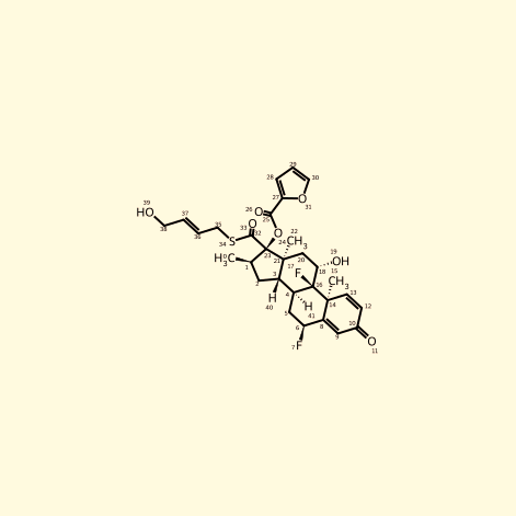 C[C@@H]1C[C@H]2[C@@H]3C[C@H](F)C4=CC(=O)C=C[C@]4(C)[C@@]3(F)[C@@H](O)C[C@]2(C)[C@@]1(OC(=O)c1ccco1)C(=O)SC/C=C/CO